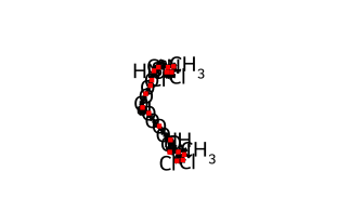 CN1Cc2c(Cl)cc(Cl)cc2C(c2cccc(S(=O)(=O)NCCOCCOCCOCCOc3cccc(OCCOCCOCCOCCNS(=O)(=O)c4cccc(C5CN(C)Cc6c(Cl)cc(Cl)cc65)c4)n3)c2)C1